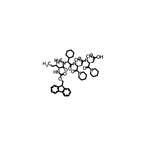 CC[C@H](C)[C@H](NC(=O)OCC1c2ccccc2-c2ccccc21)C(=O)N(C)[C@H](C(=O)N(C)[C@@H](CC(=O)N(C)[C@@H](CC(=O)O)C(=O)N1CCCCC1)C(=O)N1CCCCC1)C1CCCCC1